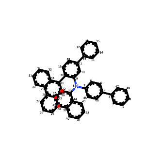 c1ccc(-c2ccc(N(c3cc(-c4ccccc4)ccc3-c3cc4ccccc4c4ccccc34)c3cccc4ccccc34)cc2)cc1